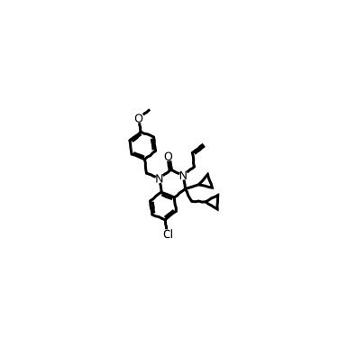 C=CCN1C(=O)N(Cc2ccc(OC)cc2)c2ccc(Cl)cc2C1(CC1CC1)C1CC1